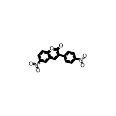 O=c1oc2ccc([N+](=O)[O-])cc2cc1-c1ccc([N+](=O)[O-])cc1